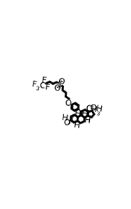 C[C@]12CCC(=O)C[C@@H]1CC[C@@H]1[C@@H]2[C@@H](c2ccc(OCCCCCS(=O)(=O)CCCC(F)(F)C(F)(F)F)cc2)C[C@]2(C)[C@@H](O)CC[C@@H]12